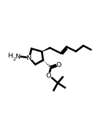 CCCC=CC[C@@H]1CN(N)C[C@H]1C(=O)OC(C)(C)C